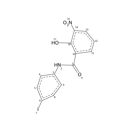 O=C(Nc1ccc(I)cc1)c1cccc([N+](=O)[O-])c1O